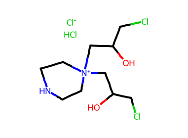 Cl.OC(CCl)C[N+]1(CC(O)CCl)CCNCC1.[Cl-]